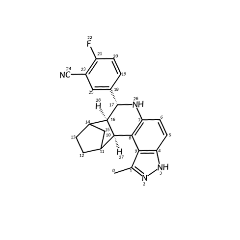 Cc1n[nH]c2ccc3c(c12)[C@H]1C2CCC(C2)[C@H]1[C@H](c1ccc(F)c(C#N)c1)N3